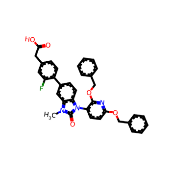 Cn1c(=O)n(-c2ccc(OCc3ccccc3)nc2OCc2ccccc2)c2ccc(-c3ccc(CC(=O)O)cc3F)cc21